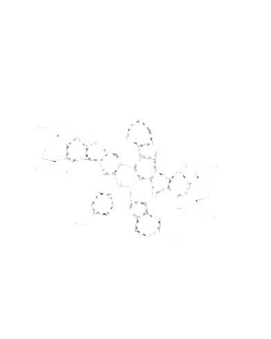 CC(C)(C)c1ccc(N2B3c4oc5ccc(C(C)(C)C)cc5c4-n4c5cc6c(cc5c5c7oc8ccccc8c7c(c3c54)-c3cc4sc5cc7c(cc5c4cc32)C(C)(C)CCC7(C)C)C(C)(C)CCC6(C)C)cc1